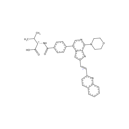 CC(C)[C@H](NC(=O)c1ccc(-c2cnc(N3CCOCC3)c3nc(/C=C/c4ccc5ccccc5n4)cn23)cc1)C(=O)O